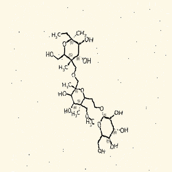 CC[C@]1(C)OC(CO)[C@@](C)(COC[C@]2(C)OC(CCO[C@H]3OC(CO)[C@H](O)[C@@H](O)C3O)[C@@](C)(COC)[C@@H](O)C2O)[C@@H](O)C1O